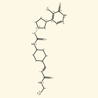 O=C(/N=C/C1CCC(NC(=O)O[C@@H]2CCN(c3cn[nH]c(=O)c3Cl)C2)CC1)NCC(F)(F)F